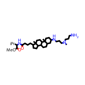 COC(=O)C(NC(=O)CCCC1CCC2C3CCC4CC(NCCCN(C)CCCN)CCC4(C)C3CCC12C)C(C)C